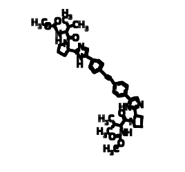 COC(=O)NC(C(=O)N1CCCC1c1ncc(-c2ccc(C#Cc3ccc(-c4cnc(C5CCCN5C(=O)C(NC(=O)OC)C(C)C)[nH]4)cc3)cc2)[nH]1)C(C)C